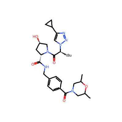 CC1CN(C(=O)c2ccc(CNC(=O)[C@@H]3C[C@@H](O)CN3C(=O)[C@@H](n3cc(C4CC4)nn3)C(C)(C)C)cc2)CC(C)O1